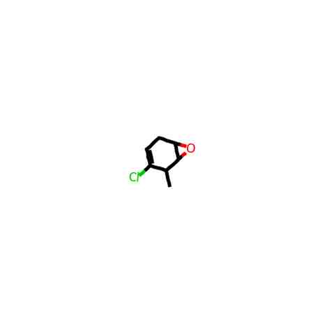 CC1C(Cl)=CCC2OC21